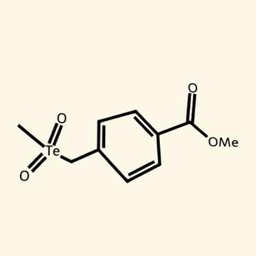 COC(=O)c1ccc(C[Te](C)(=O)=O)cc1